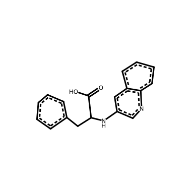 O=C(O)C(Cc1ccccc1)Nc1cnc2ccccc2c1